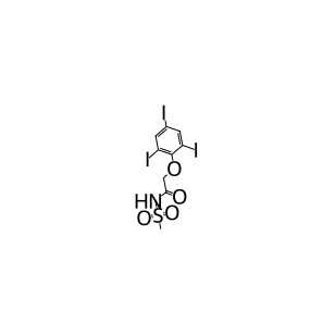 CS(=O)(=O)NC(=O)COc1c(I)cc(I)cc1I